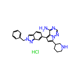 Cl.Nc1ncnn2c(C3CCCNC3)cc(-c3ccc4cn(Cc5ccccc5)nc4c3)c12